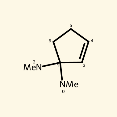 CNC1(NC)C=CCC1